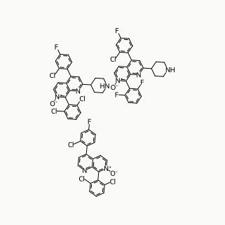 [O-][n+]1ccc2c(-c3ccc(F)cc3Cl)cc(C3CCNCC3)nc2c1-c1c(Cl)cccc1Cl.[O-][n+]1ccc2c(-c3ccc(F)cc3Cl)cc(C3CCNCC3)nc2c1-c1c(F)cccc1F.[O-][n+]1ccc2c(-c3ccc(F)cc3Cl)ccnc2c1-c1c(Cl)cccc1Cl